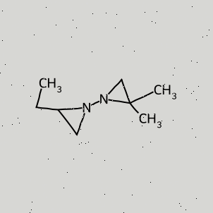 CCC1CN1N1CC1(C)C